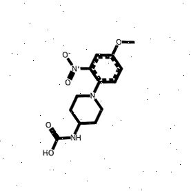 COc1ccc(N2CCC(NC(=O)O)CC2)c([N+](=O)[O-])c1